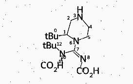 CC(C)(C)C1CNCCN1C(=NC(=O)O)N(C(=O)O)C(C)(C)C